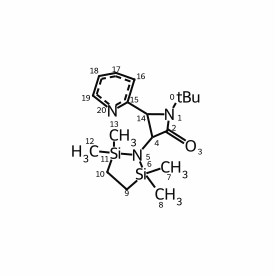 CC(C)(C)N1C(=O)C(N2[Si](C)(C)CC[Si]2(C)C)C1c1ccccn1